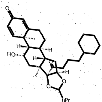 CCCC1O[C@@H]2C[C@H]3[C@@H]4CCC5=CC(=O)C=C[C@]5(C)[C@H]4[C@@H](O)C[C@]3(C)[C@]2(C(=O)CCCC2CCCCC2)O1